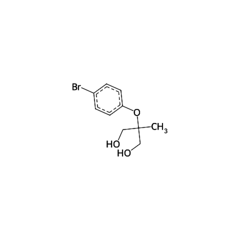 CC(CO)(CO)Oc1ccc(Br)cc1